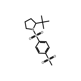 CC(C)(C)C1CCCN1S(=O)(=O)c1ccc(S(C)(=O)=O)cc1